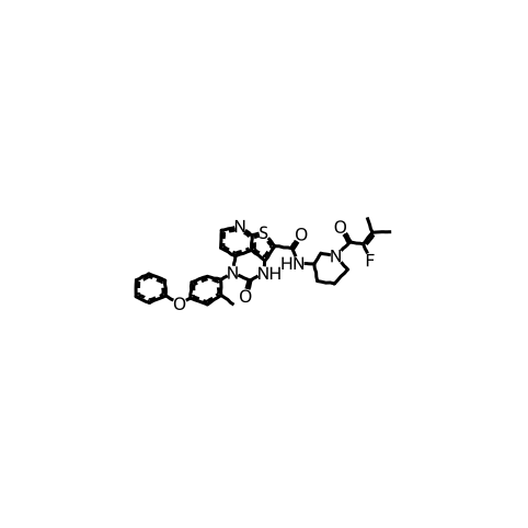 CC(C)=C(F)C(=O)N1CCCC(NC(=O)c2sc3nccc4c3c2NC(=O)N4c2ccc(Oc3ccccc3)cc2C)C1